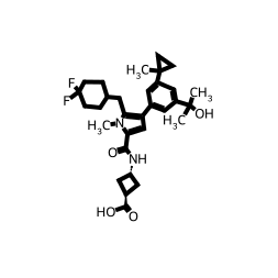 Cn1c(C(=O)N[C@H]2C[C@H](C(=O)O)C2)cc(-c2cc(C(C)(C)O)cc(C3(C)CC3)c2)c1CC1CCC(F)(F)CC1